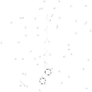 Cc1c(CCCCCCCCCCCCCCCCCCCC(=O)O)ccc[n+]1-c1ccccc1